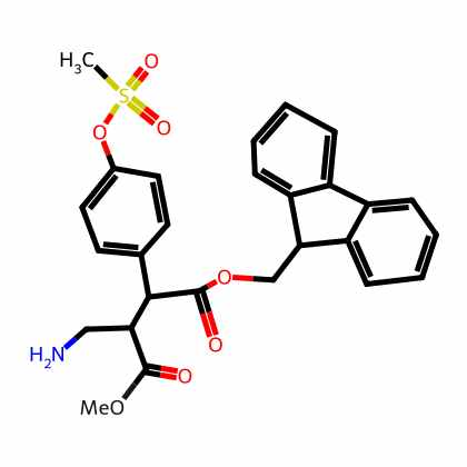 COC(=O)C(CN)C(C(=O)OCC1c2ccccc2-c2ccccc21)c1ccc(OS(C)(=O)=O)cc1